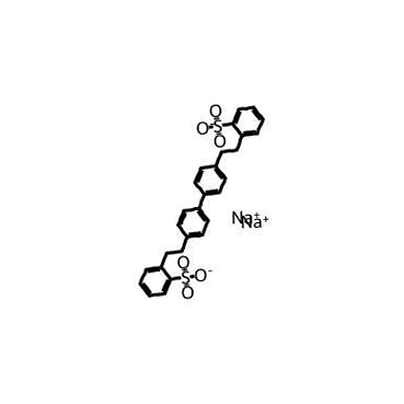 O=S(=O)([O-])c1ccccc1CCc1ccc(-c2ccc(CCc3ccccc3S(=O)(=O)[O-])cc2)cc1.[Na+].[Na+]